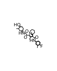 Cc1cc(NC(=O)c2c(C)c(C(=O)C(=O)N[C@H]3CC[C@H](O)C(C)C3)n3c2CCCC3)ccc1F